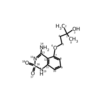 CC(C)(O)CCOc1cccc2c1C(N)=NS(=O)(=O)N2